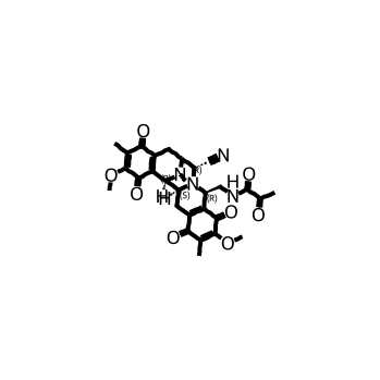 COC1=C(C)C(=O)C2=C(C1=O)[C@@H]1[C@@H]3CC4=C(C(=O)C(OC)=C(C)C4=O)[C@H](CNC(=O)C(C)=O)N3[C@@H](C#N)C(C2)N1C